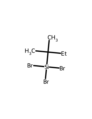 CCC(C)(C)[Si](Br)(Br)Br